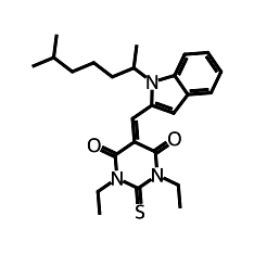 CCN1C(=O)C(=Cc2cc3ccccc3n2C(C)CCCC(C)C)C(=O)N(CC)C1=S